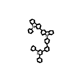 c1ccc(-c2cc(-c3cccc(-c4ccc(-n5c6ccccc6c6cc(-c7ccc8c9ccccc9n(-c9ccccc9)c8c7)ccc65)cc4)c3)cc(-c3ccccc3)n2)cc1